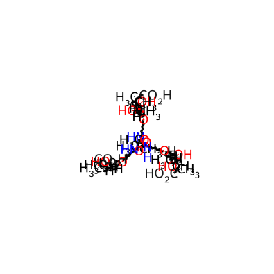 C[C@H](CCC(=O)O)C1CC[C@H]2[C@@H]3[C@H](O)C[C@@H]4C[C@@H](OCCCCCCNC(=O)C5(C)CC(C)(C(=O)NCCCCCCO[C@H]6CC[C@]7(C)C8C[C@H](O)[C@]9(C)[C@@H]([C@H](C)CCC(=O)O)CC[C@H]9[C@@H]8[C@H](O)C[C@@H]7C6)CC(C)(C(=O)NCCCCCCO[C@H]6CC[C@]7(C)C8C[C@H](O)[C@]9(C)[C@@H]([C@H](C)CCC(=O)O)CC[C@H]9[C@@H]8CC[C@@H]7C6)C5)CC[C@]4(C)[C@H]3C[C@H](O)[C@]12C